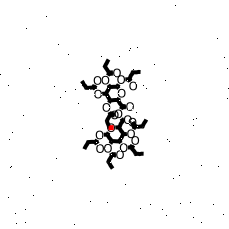 CCC(=O)OC1OC(C(=O)OC(=O)C2OC(OC(=O)CC)C(OC(=O)CC)C(OC(=O)CC)C2OC(=O)CC)C(OC(=O)CC)C(OC(=O)CC)C1OC(=O)CC